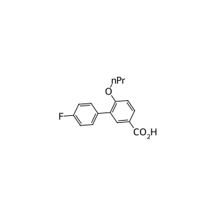 CCCOc1ccc(C(=O)O)cc1-c1ccc(F)cc1